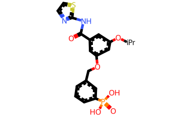 CC(C)Oc1cc(OCc2cccc(P(=O)(O)O)c2)cc(C(=O)Nc2nccs2)c1